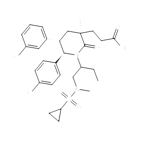 CCC(CN(C)S(=O)(=O)C1CC1)N1C(=O)[C@](C)(CCC(=O)O)C[C@@H](c2cccc(Cl)c2)[C@@H]1c1ccc(Cl)cc1